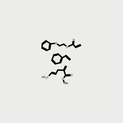 C=C(CC=CC(=O)O)C(=O)OCCCC.C=CC(=O)OCCOc1ccccc1.C=Cc1ccccc1